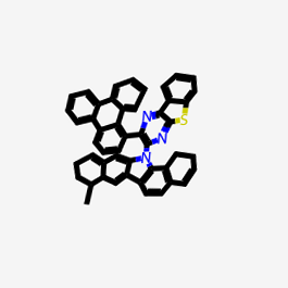 CC1CCC=C2C=c3c(c4ccc5c(c4n3-c3nc4sc6ccccc6c4nc3-c3cccc4c6ccccc6c6ccccc6c34)CCC=C5)=CC21